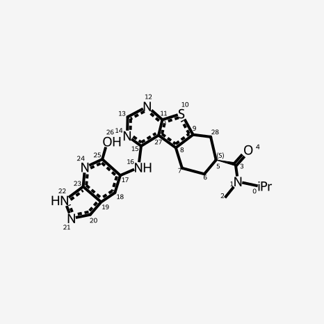 CC(C)N(C)C(=O)[C@H]1CCc2c(sc3ncnc(Nc4cc5cn[nH]c5nc4O)c23)C1